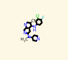 CN(c1ccncc1)c1cc2c(Nc3ccc(F)c(Cl)c3)c(C#N)cnc2cn1